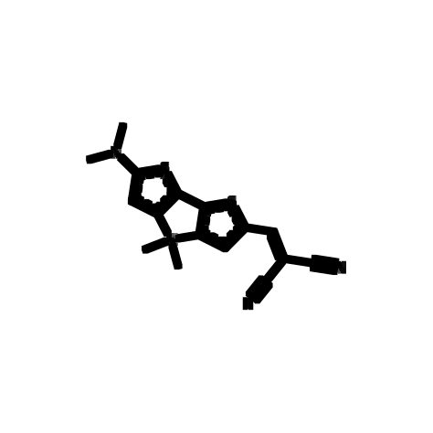 CN(C)c1cc2c(s1)-c1sc(C=C(C#N)C#N)cc1[Si]2(C)C